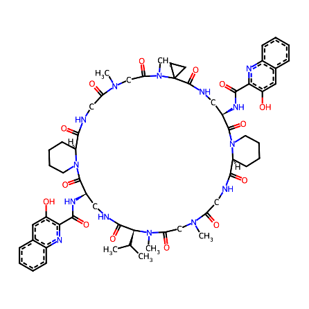 CC(C)[C@H]1C(=O)NC[C@@H](NC(=O)c2nc3ccccc3cc2O)C(=O)N2CCCC[C@H]2C(=O)NCC(=O)N(C)CC(=O)N(C)C2(CC2)C(=O)NC[C@@H](NC(=O)c2nc3ccccc3cc2O)C(=O)N2CCCC[C@H]2C(=O)NCC(=O)N(C)CC(=O)N1C